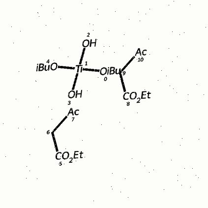 CC(C)C[O][Ti]([OH])([OH])[O]CC(C)C.CCOC(=O)CC(C)=O.CCOC(=O)CC(C)=O